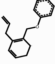 C=CCC1=C(COc2ccccc2)[CH]CC=C1